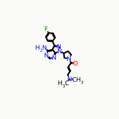 CN(C)CC=CC(=O)N1CCC(n2nc(-c3ccc(F)cc3)c3c(N)ncnc32)C1